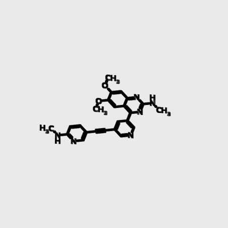 CNc1ccc(C#Cc2cncc(-c3nc(NC)nc4cc(OC)c(OC)cc34)c2)cn1